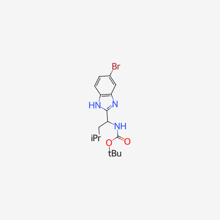 CC(C)CC(NC(=O)OC(C)(C)C)c1nc2cc(Br)ccc2[nH]1